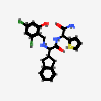 NC(=O)[C@H](NC(=O)[C@H](NCc1c(O)cc(Cl)cc1Cl)C1Cc2ccccc2C1)c1cccs1